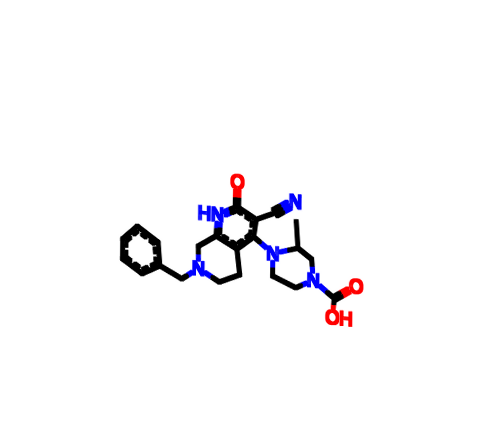 CC1CN(C(=O)O)CCN1c1c2c([nH]c(=O)c1C#N)CN(Cc1ccccc1)CC2